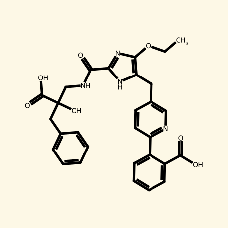 CCOc1nc(C(=O)NCC(O)(Cc2ccccc2)C(=O)O)[nH]c1Cc1ccc(-c2ccccc2C(=O)O)nc1